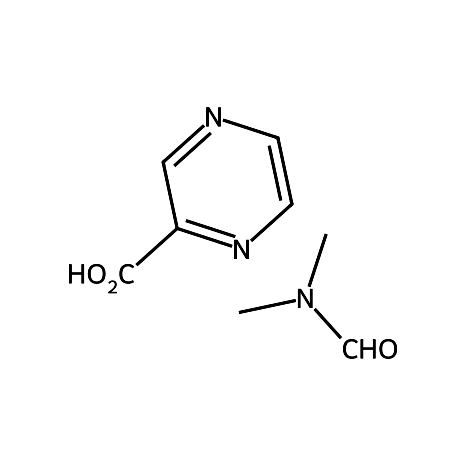 CN(C)C=O.O=C(O)c1cnccn1